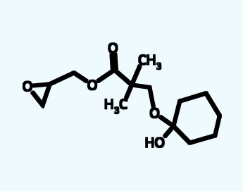 CC(C)(COC1(O)CCCCC1)C(=O)OCC1CO1